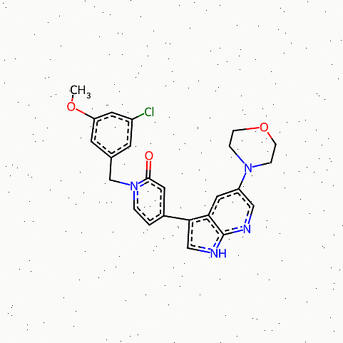 COc1cc(Cl)cc(Cn2ccc(-c3c[nH]c4ncc(N5CCOCC5)cc34)cc2=O)c1